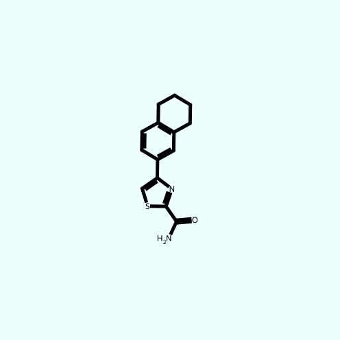 NC(=O)c1nc(-c2ccc3c(c2)CCCC3)cs1